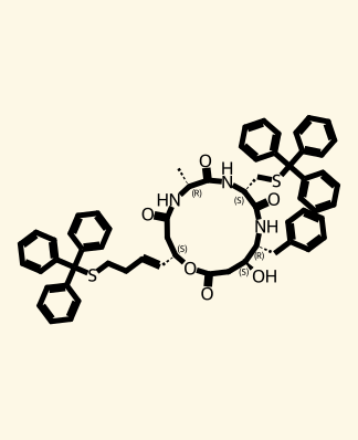 C[C@H]1NC(=O)C[C@@H](C=CCCSC(c2ccccc2)(c2ccccc2)c2ccccc2)OC(=O)C[C@H](O)[C@@H](Cc2ccccc2)NC(=O)[C@@H](CSC(c2ccccc2)(c2ccccc2)c2ccccc2)NC1=O